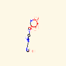 CC[C@H]1OC(=O)[C@H](C)[C@@H](O)[C@H](C)[C@@H](O[C@@H]2O[C@H](C)C[C@H](N(C)Cc3ccc(-c4cn(CCCCCCn5cccc(O)c5=S)nn4)cc3)[C@H]2O)[C@](C)(O)C[C@@H](C)CN(C)[C@H](C)[C@@H](O)[C@]1(C)O